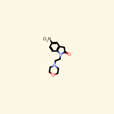 O=C1Cc2cc([N+](=O)[O-])ccc2N1CCN1CCOCC1